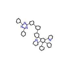 c1ccc(-c2nc(-c3ccccc3)nc(-c3cccc(-c4cccc(-c5cccc(-c6cc(-c7ccccn7)c(-c7ccccc7)c(-c7ccccc7)c6-c6ccccn6)c5)c4)c3)n2)cc1